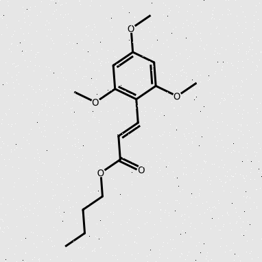 CCCCOC(=O)C=Cc1c(OC)cc(OC)cc1OC